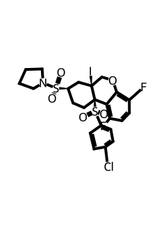 O=S(=O)([C@@H]1CC[C@@]2(S(=O)(=O)c3ccc(Cl)cc3)c3c(F)ccc(F)c3OC[C@@]2(I)C1)N1CCCC1